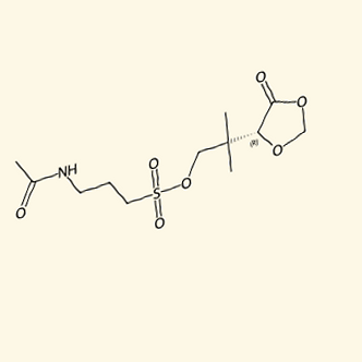 CC(=O)NCCCS(=O)(=O)OCC(C)(C)[C@H]1OCOC1=O